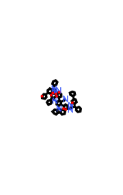 N#Cc1c(-c2ccc3nc4n(c3c2)-c2cc(-c3ccccc3)ccc2C4c2ccccc2)c(-n2c3ccccc3c3ccccc32)cc(-n2c3ccccc3c3ccccc32)c1-c1ccc2nc3n(-c4ccccc4)c4ccc(-c5ccccc5)cc4n3c2c1